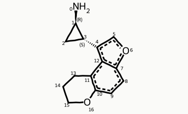 N[C@@H]1C[C@H]1c1coc2ccc3c(c12)CCCO3